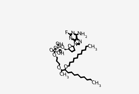 CCCCCCCCCCCOC(CCCCCCCCC)C(C)OCCCOP(=O)(O)OP(=O)(O)OC[C@@H]1CC[C@H](n2cnc3c(N)nc(F)nc32)O1